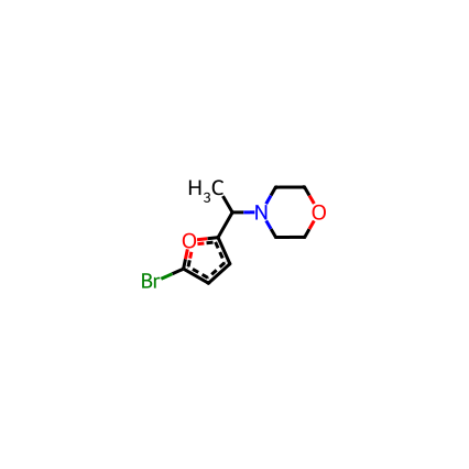 CC(c1ccc(Br)o1)N1CCOCC1